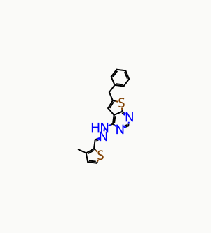 Cc1ccsc1/C=N/Nc1ncnc2sc(Cc3ccccc3)cc12